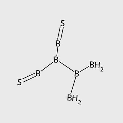 BB(B)B(B=S)B=S